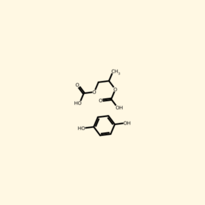 CC(COC(=O)O)OC(=O)O.Oc1ccc(O)cc1